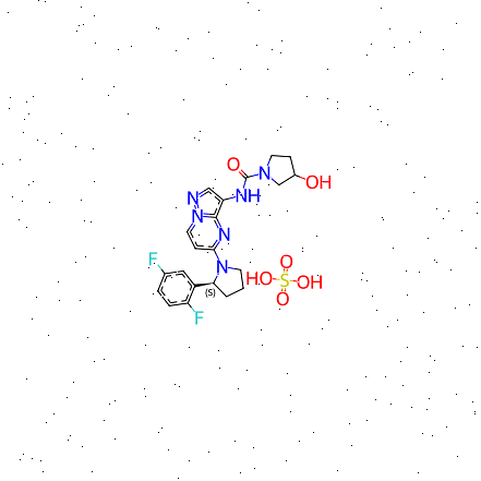 O=C(Nc1cnn2ccc(N3CCC[C@H]3c3cc(F)ccc3F)nc12)N1CCC(O)C1.O=S(=O)(O)O